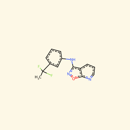 CC(F)(F)c1cccc(Nc2noc3ncccc23)c1